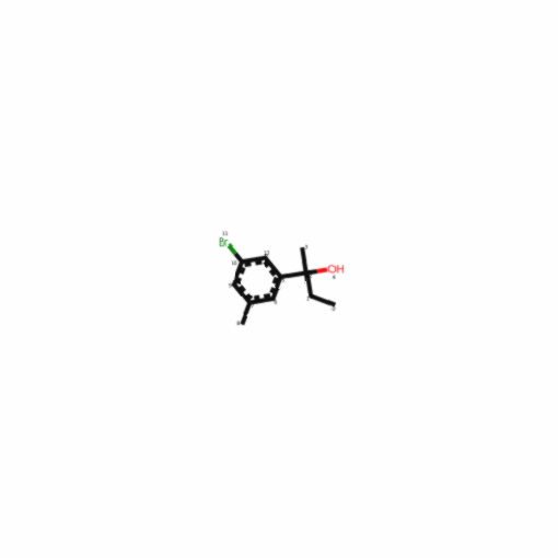 CCC(C)(O)c1cc(C)cc(Br)c1